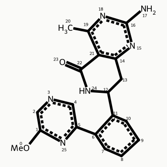 COc1cncc(-c2ccccc2C2Cc3nc(N)nc(C)c3C(=O)N2)n1